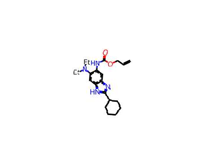 C=CCOC(=O)Nc1cc2nc(C3CCCCC3)[nH]c2cc1N(CC)CC